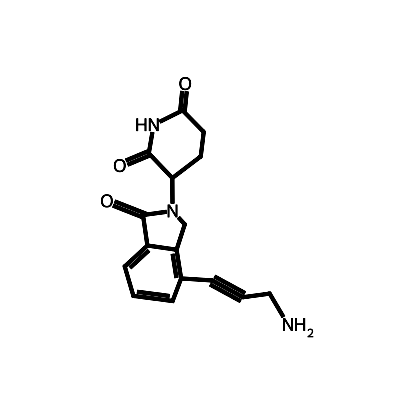 NCC#Cc1cccc2c1CN(C1CCC(=O)NC1=O)C2=O